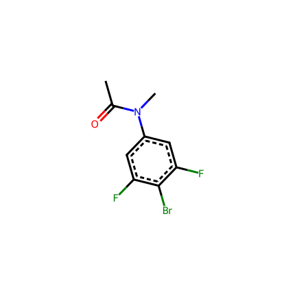 CC(=O)N(C)c1cc(F)c(Br)c(F)c1